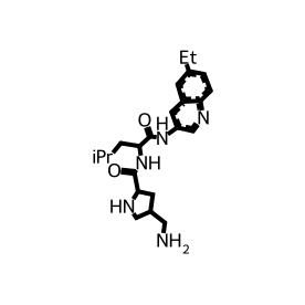 CCc1ccc2ncc(NC(=O)C(CC(C)C)NC(=O)C3CC(CN)CN3)cc2c1